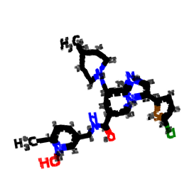 Cc1ccc(CNC(=O)c2cc(N3CCC(C)CC3)c3ncc(-c4ccc(Cl)s4)n3c2)c[n+]1O